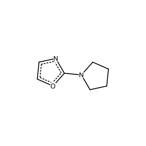 c1coc(N2CCCC2)n1